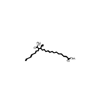 CCCCCCCC(C(=O)O)C(CC)CCCCCCCCCCCCC(=O)O